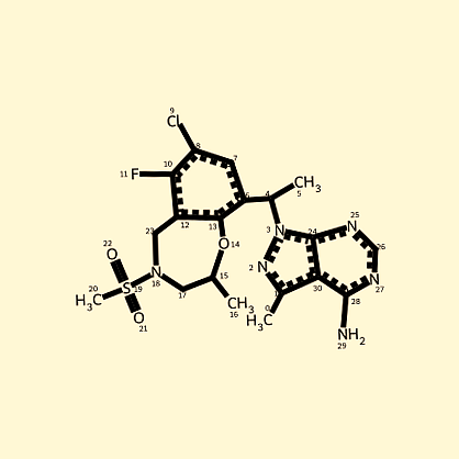 Cc1nn(C(C)c2cc(Cl)c(F)c3c2OC(C)CN(S(C)(=O)=O)C3)c2ncnc(N)c12